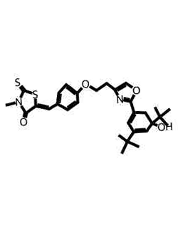 CN1C(=O)C(=Cc2ccc(OCCc3coc(C4=CC(C(C)(C)C)=CC(O)(C(C)(C)C)C4)n3)cc2)SC1=S